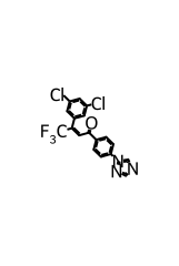 O=C(/C=C(\c1cc(Cl)cc(Cl)c1)C(F)(F)F)c1ccc(-n2cncn2)cc1